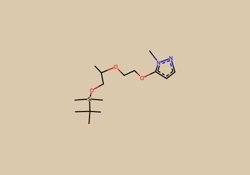 CC(CO[Si](C)(C)C(C)(C)C)OCCOc1ccnn1C